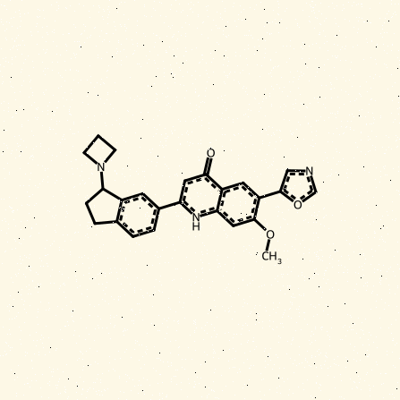 COc1cc2[nH]c(-c3ccc4c(c3)C(N3CCC3)CC4)cc(=O)c2cc1-c1cnco1